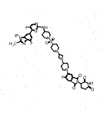 Cc1nc2c(F)cc(-c3nc(NC4CCN(S(=O)(=O)C5CCN(C6CN(C7CCN(c8cc9c(cc8F)C(=O)N(C8CCC(=O)NC8=O)C9=O)CC7)C6)CC5)CC4)ncc3F)cc2n1C(C)C